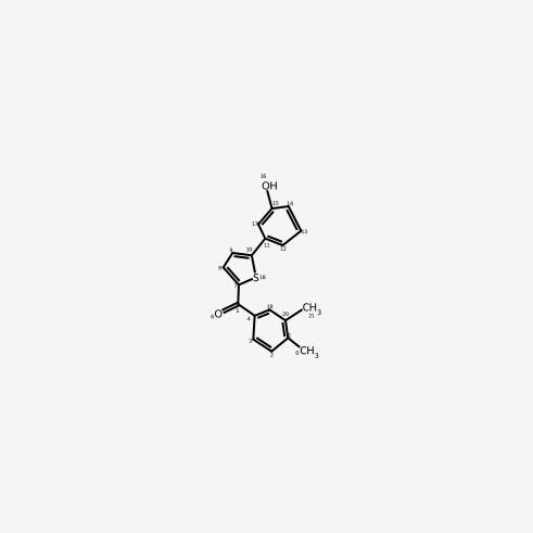 Cc1ccc(C(=O)c2ccc(-c3cccc(O)c3)s2)cc1C